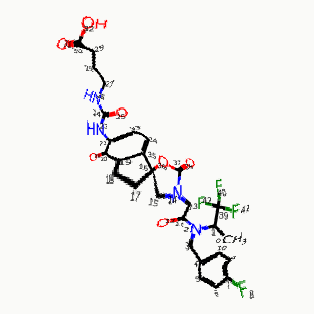 CC(N(Cc1ccc(F)cc1)C(=O)CN1C[C@]2(CCC3C(=O)C(NC(=O)NCCCC(=O)O)=CC=C32)OC1=O)C(F)(F)F